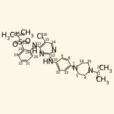 CC(C)N1CCN(c2ccc(Nc3ncc(Cl)c(Nc4ccccc4S(=O)(=O)C(C)C)n3)cc2)CC1